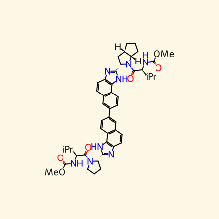 COC(=O)NC(C(=O)N1CCC[C@H]1c1nc2ccc3cc(-c4ccc5c(ccc6nc([C@@H]7C[C@@H]8CCC[C@@H]8N7C(=O)[C@@H](NC(=O)OC)C(C)C)[nH]c65)c4)ccc3c2[nH]1)C(C)C